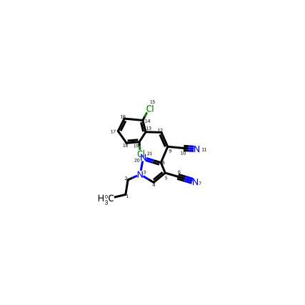 CCCn1cc(C#N)c(/C(C#N)=C\c2c(Cl)cccc2Cl)n1